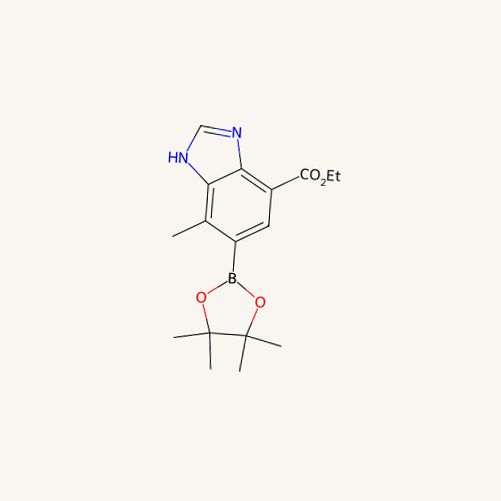 CCOC(=O)c1cc(B2OC(C)(C)C(C)(C)O2)c(C)c2[nH]cnc12